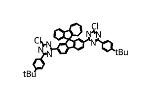 CC(C)(C)c1ccc(-c2nc(Cl)nc(-c3ccc4c(c3)C3(C5=C(C=CC=CC5)c5ccccc53)c3cc(-c5nc(Cl)nc(-c6ccc(C(C)(C)C)cc6)n5)ccc3-4)n2)cc1